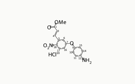 COC(=O)C=Cc1cc(Oc2ccc(N)cc2)ccc1[N+](=O)[O-].Cl